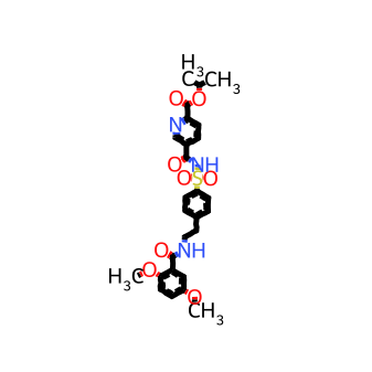 COc1ccc(OC)c(C(=O)NCCc2ccc(S(=O)(=O)NC(=O)c3ccc(C(=O)OC(C)C)nc3)cc2)c1